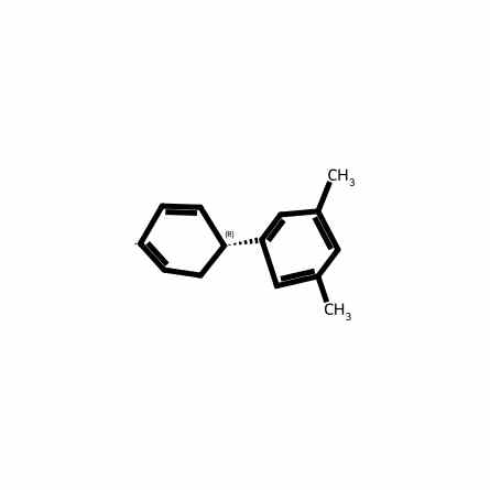 Cc1cc(C)cc([C@H]2C=C[C]=CC2)c1